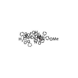 COc1ccc(C(Nc2nc3c(ncn3C3O[C@](F)(COP(=O)(N[C@@H](C)C(=O)OC4CCCCC4)Oc4ccccc4)[C@@H](O)[C@@]3(C)O)c(=O)[nH]2)(c2ccccc2)c2ccccc2)cc1